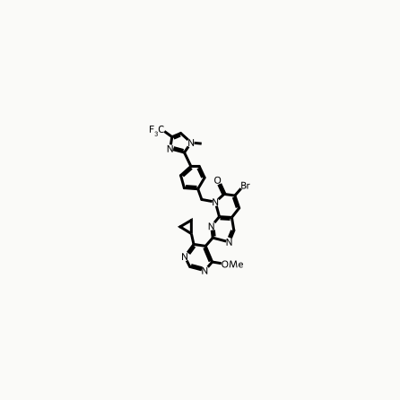 COc1ncnc(C2CC2)c1-c1ncc2cc(Br)c(=O)n(Cc3ccc(-c4nc(C(F)(F)F)cn4C)cc3)c2n1